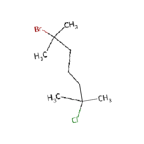 CC(C)(Cl)CCCC(C)(C)Br